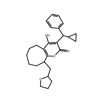 O=c1oc2c(c(O)c1C(c1ccccc1)C1CC1)CCCCCC2CC1CCCO1